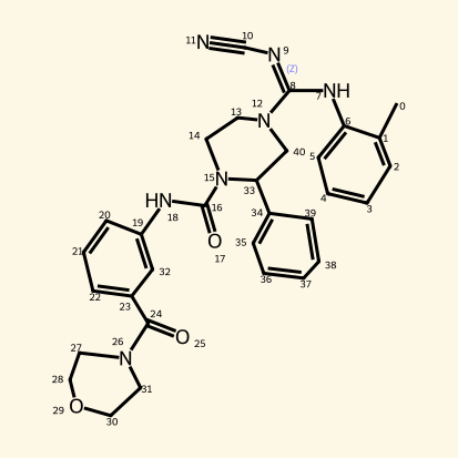 Cc1ccccc1N/C(=N/C#N)N1CCN(C(=O)Nc2cccc(C(=O)N3CCOCC3)c2)C(c2ccccc2)C1